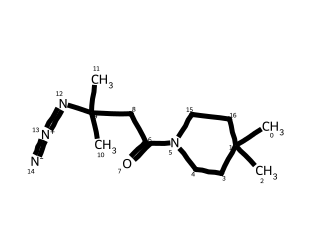 CC1(C)CCN(C(=O)CC(C)(C)N=[N+]=[N-])CC1